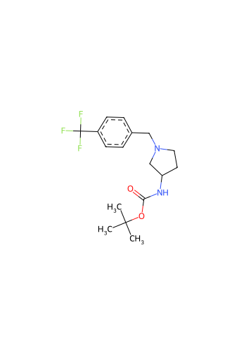 CC(C)(C)OC(=O)NC1CCN(Cc2ccc(C(F)(F)F)cc2)C1